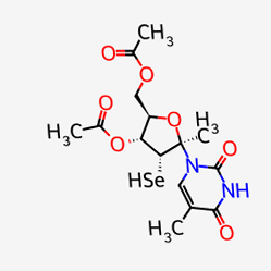 CC(=O)OC[C@H]1O[C@@](C)(n2cc(C)c(=O)[nH]c2=O)[C@H]([SeH])[C@@H]1OC(C)=O